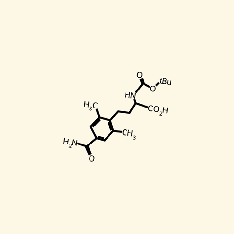 Cc1cc(C(N)=O)cc(C)c1CCC(NC(=O)OC(C)(C)C)C(=O)O